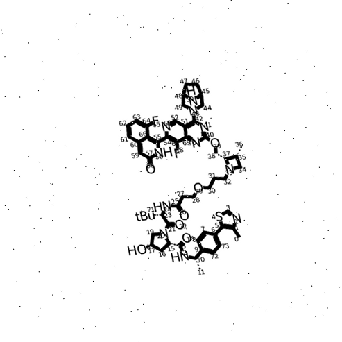 Cc1ncsc1-c1ccc([C@H](C)NC(=O)[C@@H]2C[C@@H](O)CN2C(=O)[C@@H](NC(=O)CCOCCCN2C[C@@H](C)[C@H]2COc2nc(N3CC4CCC(C3)N4)c3cnc(-c4[nH]c(=O)cc5cccc(F)c45)c(F)c3n2)C(C)(C)C)cc1